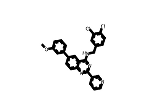 COc1cccc(-c2ccc3nc(-c4cccnc4)nc(NCc4ccc(Cl)c(Cl)c4)c3c2)c1